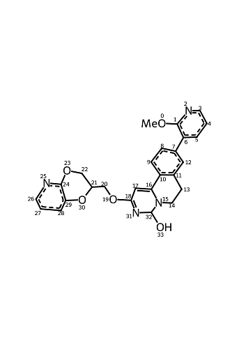 COc1ncccc1-c1ccc2c(c1)CCN1C2=CC(OCC2COc3ncccc3O2)=NC1O